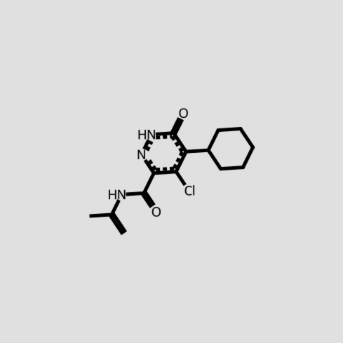 C=C(C)NC(=O)c1n[nH]c(=O)c(C2CCCCC2)c1Cl